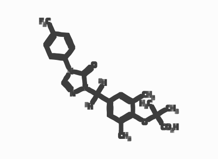 [2H]C([2H])(c1cc(C)c(OC(C)(C)C(=O)O)c(C)c1)n1ncn(-c2ccc(C(F)(F)F)cc2)c1=O